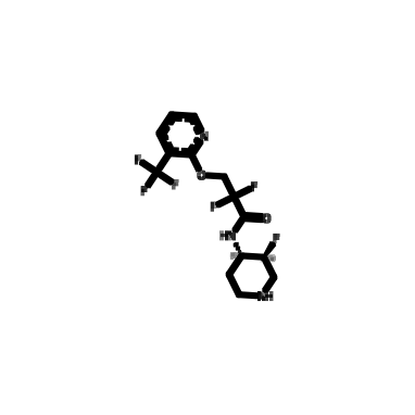 O=C(N[C@H]1CCNC[C@@H]1F)C(F)(F)COc1ncccc1C(F)(F)F